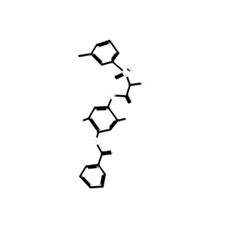 CCCC(C(=O)Nc1cc(O)c(NC(=O)c2ccccc2)cc1Cl)S(=O)(=O)c1cccc(C)c1